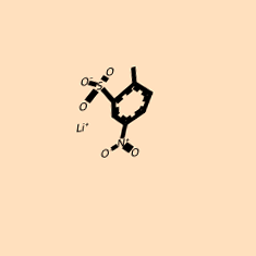 Cc1ccc([N+](=O)[O-])cc1S(=O)(=O)[O-].[Li+]